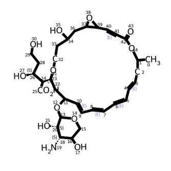 CC1C/C=C/C=C/C=C/C=C/C(OC2OCC(O)[C@H](N)[C@@H]2O)C[C@@H](C(C(=O)O)[C@@H](O)CCO)OCCC(O)CC2OC2/C=C/C(=O)O1